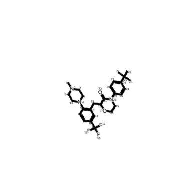 CN1CCN(c2ccc(C(F)(F)F)cc2CC2OCCN(c3ccc(C(C)(C)C)cc3)C2=O)CC1